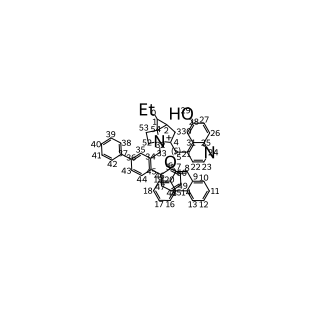 CCC1C2CC([C@@H](Oc3cc4ccccc4c4ccccc34)c3ccnc4ccc(O)cc34)[N+]3(Cc4cc(-c5ccccc5)ccc4-c4ccccc4)CCC123